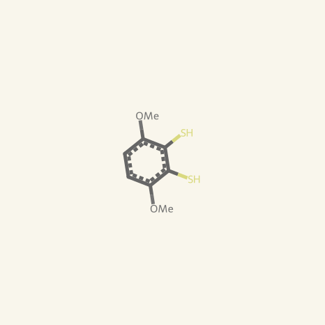 COc1ccc(OC)c(S)c1S